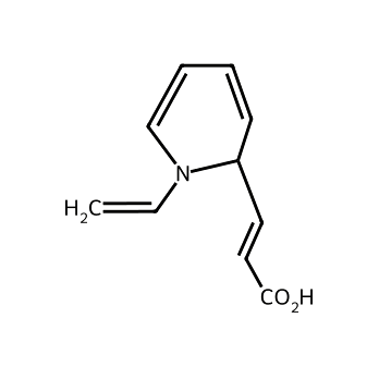 C=CN1C=CC=CC1C=CC(=O)O